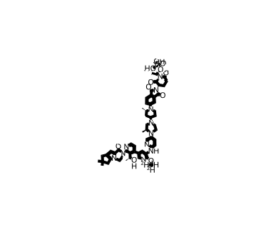 [2H]C([2H])([2H])Oc1ncc(-c2ccnc(N3CCn4c(cc5c4CC(C)(C)C5)C3=O)c2[C@@H](C)O)cc1Nc1ccc(N2CCN(C3CCN(c4ccc5c(c4)C(=O)N([C@H]4CCC(=O)N(C(C)OP(=O)(O)O)C4=O)C5=O)[C@@H](C)C3)C[C@@H]2C)cn1